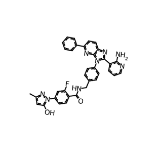 Cc1cc(O)n(-c2ccc(C(=O)NCc3ccc(-n4c(-c5cccnc5N)nc5ccc(-c6ccccc6)nc54)cc3)c(F)c2)n1